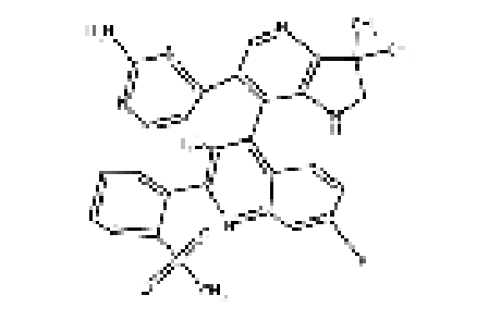 Cc1c(-c2ccccc2S(C)(=O)=O)nc2cc(F)ccc2c1-c1c(-c2ccnc(N)n2)cnc2c1NCC2(C)C